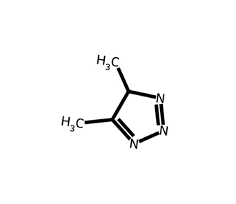 CC1=NN=NC1C